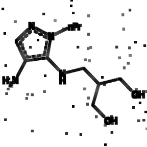 CCCn1ncc(N)c1NCC(CO)CO